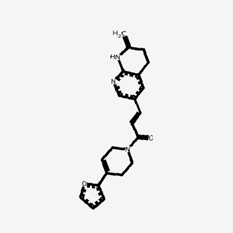 C=C1CCc2cc(/C=C/C(=O)N3CC=C(c4ccco4)CC3)cnc2N1